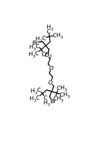 CC(C)(C)CC(CBr)(COCCOCCOCC(CBr)(CC(C)(C)C)C(C)(C)C)C(C)(C)C